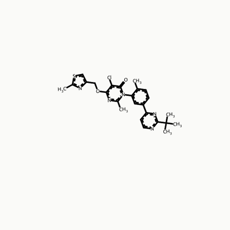 Cc1nc(COc2nc(C)n(-c3cc(-c4ccnc(C(C)(C)C)n4)ccc3C)c(=O)c2Cl)cs1